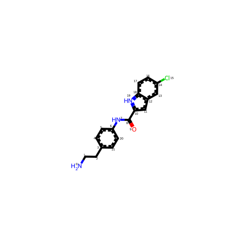 NCCc1ccc(NC(=O)c2cc3cc(Cl)ccc3[nH]2)cc1